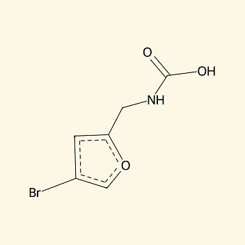 O=C(O)NCc1cc(Br)co1